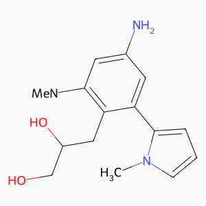 CNc1cc(N)cc(-c2cccn2C)c1CC(O)CO